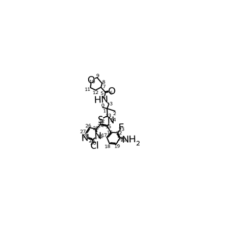 CC(C)(CNC(=O)C1CCOCC1)c1nc(-c2cccc(N)c2F)c(-c2ccnc(Cl)n2)s1